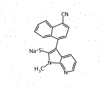 Cn1c([S-])c(-c2ccc(C#N)c3ccccc23)c2cccnc21.[Na+]